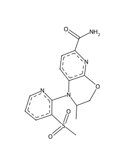 CC1COc2nc(C(N)=O)ccc2N1c1ncccc1S(C)(=O)=O